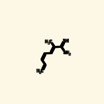 C=C/C=C\C=C(/C)C(=N)N